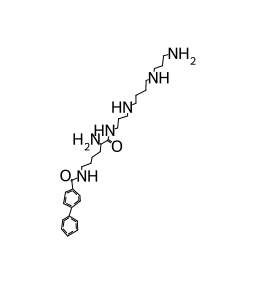 NCCCNCCCCNCCCNC(=O)[C@@H](N)CCCCNC(=O)c1ccc(-c2ccccc2)cc1